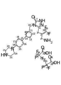 NCC(Cc1n[nH]c(=O)n1Cc1ccc(-c2ccc(N3CCNCC3)cc2)s1)=C(F)F.O=C(O)C(F)(F)F.O=C(O)C(F)(F)F